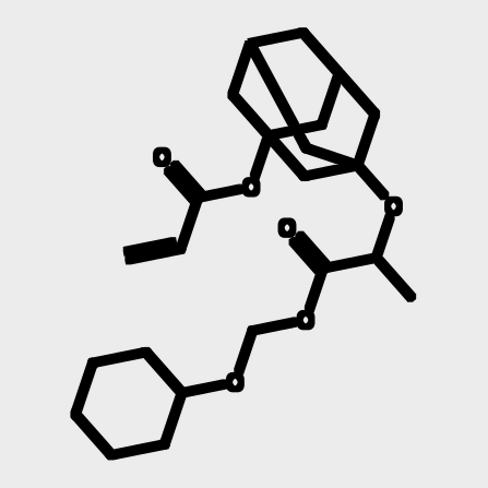 C=CC(=O)OC12CC3CC(C1)CC(OC(C)C(=O)OCOC1CCCCC1)(C3)C2